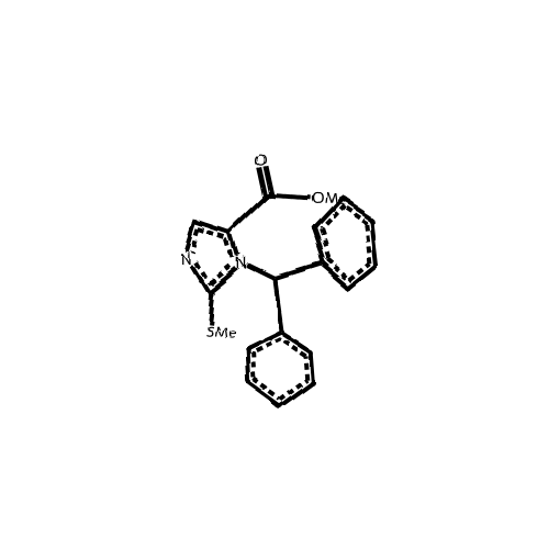 COC(=O)c1cnc(SC)n1C(c1ccccc1)c1ccccc1